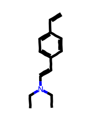 C=Cc1ccc(/C=C/N(CC)CC)cc1